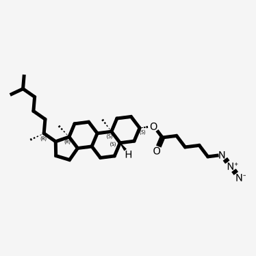 CC(C)CCC[C@@H](C)C1CCC2C3CC[C@H]4C[C@@H](OC(=O)CCCCN=[N+]=[N-])CC[C@]4(C)C3CC[C@@]21C